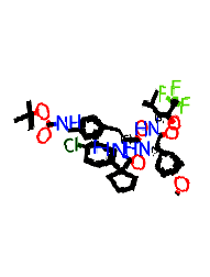 COc1ccc([C@H](NC(=O)[C@H](Cc2ccc(CNC(=O)OC(C)(C)C)cc2)NC(=O)C2(c3ccc(Cl)cc3)CCCC2)C(=O)N[C@H](C(=O)C(F)(F)F)C(C)C)cc1